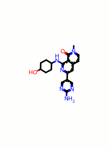 Cn1ccc2cc(-c3cnc(N)nc3)nc(NC3CCC(O)CC3)c2c1=O